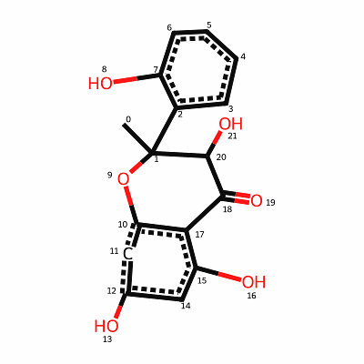 CC1(c2ccccc2O)Oc2cc(O)cc(O)c2C(=O)C1O